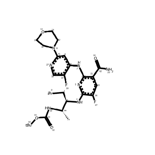 CC(C)C[C@@H](Nc1nc(Nc2cc(N3CCOCC3)ncc2F)c(C(N)=O)cc1F)[C@H](C)NC(=O)OC(C)(C)C